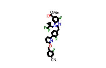 COC(=O)c1cc(F)c2nc(Cc3ccc(-c4cccc(OCc5ccc(C#N)cc5F)n4)c(F)c3)n(CC3(C(F)F)CC3)c2c1